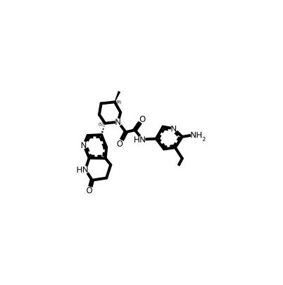 CCc1cc(NC(=O)C(=O)N2C[C@H](C)CC[C@H]2c2cnc3c(c2)CCC(=O)N3)cnc1N